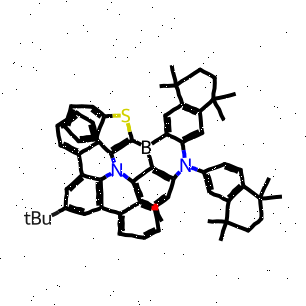 Cc1cc2c3c(c1)N(c1c(-c4ccccc4)cc(C(C)(C)C)cc1-c1ccccc1)c1c(sc4ccccc14)B3c1cc3c(cc1N2c1ccc2c(c1)C(C)(C)CCC2(C)C)C(C)(C)CCC3(C)C